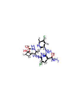 Cc1ncc(Nc2nc(N[C@H](C3CCC3)[C@H](C)NC(=O)O)c(F)cc2C(N)=O)cc1F